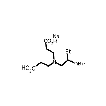 CCCCC(CC)CN(CCC(=O)O)CCC(=O)O.[Na]